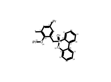 Cc1cc(C(C)C)cc(CP2(=O)Oc3ccccc3-c3ccccc32)c1OC(C)C